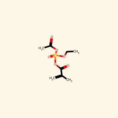 C=C(C)C(=O)OP(=O)(OCC)OC(C)=O